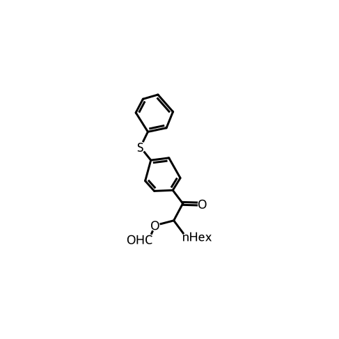 CCCCCCC(OC=O)C(=O)c1ccc(Sc2ccccc2)cc1